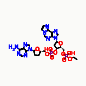 CCOP(=O)(O)OC[C@H]1O[C@@H](n2cnc3c2ncn2ccnc32)C[C@@H]1OP(=O)(O)OC[C@@H]1CC[C@H](n2cnc3c(N)ncnc32)O1